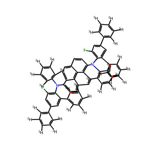 [2H]c1c([2H])c([2H])c(-c2cc(F)c(N(c3c([2H])c([2H])c([2H])c([2H])c3[2H])c3ccc4ccc5c(N(c6c(F)cc(-c7c([2H])c([2H])c([2H])c([2H])c7[2H])cc6-c6c([2H])c([2H])c([2H])c([2H])c6[2H])c6c([2H])c([2H])c([2H])c([2H])c6[2H])ccc6ccc3c4c65)c(-c3c([2H])c([2H])c([2H])c([2H])c3[2H])c2)c([2H])c1[2H]